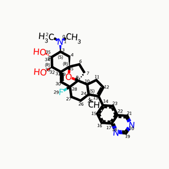 CN(C)[C@H]1C[C@@]23CC[C@]4(O2)C2CC=C(c5ccc6ncncc6c5)[C@@]2(C)CCC4(F)C=C3[C@@H](O)[C@@H]1O